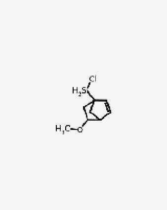 COC1CC2([SiH2]Cl)C=CC1C2